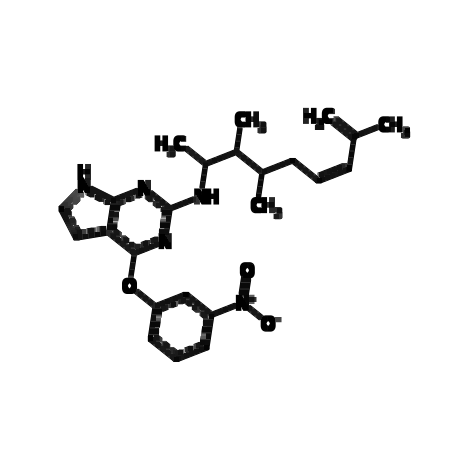 C=C(C)/C=C\CC(C)C(C)C(C)Nc1nc(Oc2cccc([N+](=O)[O-])c2)c2cc[nH]c2n1